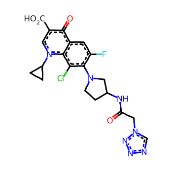 O=C(Cn1cnnn1)NC1CCN(c2c(F)cc3c(=O)c(C(=O)O)cn(C4CC4)c3c2Cl)C1